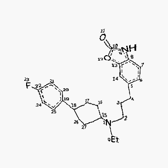 CCN(CCCc1ccc2[nH]c(=O)oc2c1)C1CCC(c2ccc(F)cc2)CC1